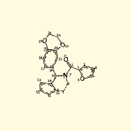 O=C(c1ccco1)N1CCn2cccc2C1c1ccc2c(c1)OCCO2